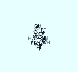 CCC1CC(NC2=NNN(C)N2Cc2cc(C(F)(F)F)cc(C(F)(F)F)c2)c2cc(C(F)(F)F)ccc2N1C(=O)C1CCC(CC(=O)O)CC1